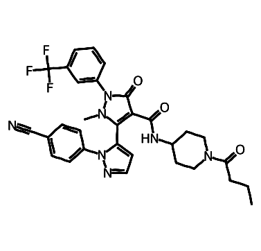 CCCC(=O)N1CCC(NC(=O)c2c(-c3ccnn3-c3ccc(C#N)cc3)n(C)n(-c3cccc(C(F)(F)F)c3)c2=O)CC1